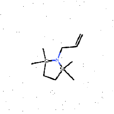 C=CCN1[Si](C)(C)CC[Si]1(C)C